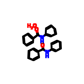 O.O=C(Nc1ccccc1)c1ccccc1.O=C(Nc1ccccc1)c1ccccc1